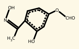 C/C(=N/O)c1ccc(OC=O)cc1O